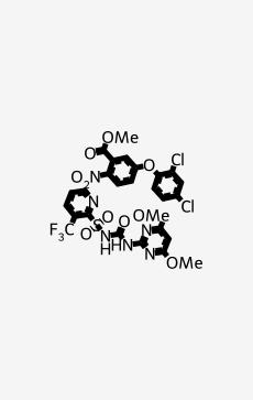 COC(=O)c1cc(Oc2ccc(Cl)cc2Cl)ccc1[N+](=O)[O-].COc1cc(OC)nc(NC(=O)NS(=O)(=O)c2ncccc2C(F)(F)F)n1